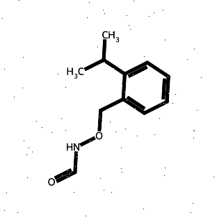 CC(C)c1ccccc1CONC=O